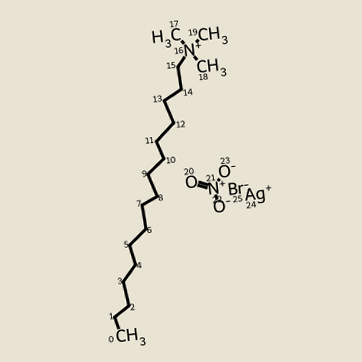 CCCCCCCCCCCCCCCC[N+](C)(C)C.O=[N+]([O-])[O-].[Ag+].[Br-]